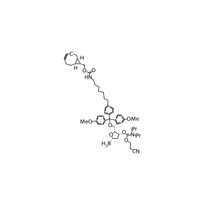 B[C@H]1C[C@@H](OP(OCCC#N)N(C(C)C)C(C)C)[C@@H](COC(c2ccc(CCCCCCCNC(=O)OC[C@@H]3[C@@H]4CCC#CCC[C@@H]43)cc2)(c2ccc(OC)cc2)c2ccc(OC)cc2)O1